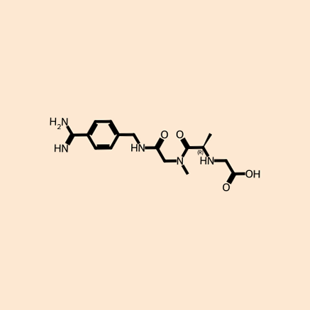 C[C@@H](NCC(=O)O)C(=O)N(C)CC(=O)NCc1ccc(C(=N)N)cc1